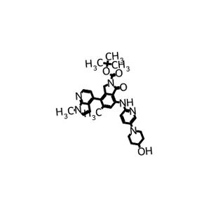 Cc1cc(Nc2ccc(N3CCC(O)CC3)cn2)c2c(c1-c1ccnc3c1ccn3C)CN(C(=O)OC(C)(C)C)C2=O